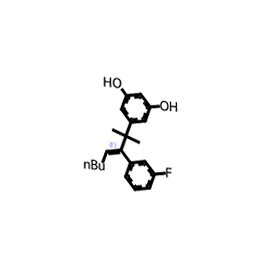 CCCC/C=C(\c1cccc(F)c1)C(C)(C)c1cc(O)cc(O)c1